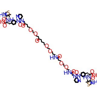 CC1(C)SCN[C@@H]1C(=O)N[C@@H](Cc1ccc(-n2c(=O)n(CC(=O)CCCOCCOCCC(=O)CCCCOCCOCCCNC(=O)CCOCCOCCNC(=O)Cn3c(=O)n(-c4ccc(C[C@H](NC(=O)[C@H]5NCSC5(C)C)C(=O)O)cc4)c4ncccc43)c3cccnc32)cc1)C(=O)O